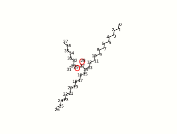 CCCCCCCCCCCCCCC(CCCCCCCCCCCC)C(=O)OC(C)CCCCCC